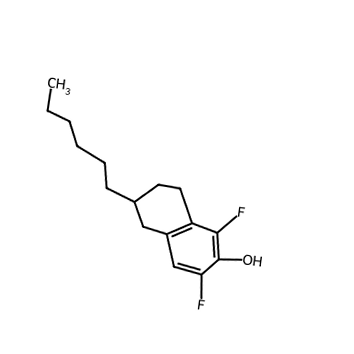 CCCCCCC1CCc2c(cc(F)c(O)c2F)C1